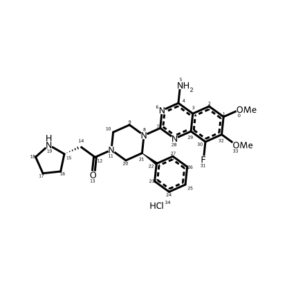 COc1cc2c(N)nc(N3CCN(C(=O)C[C@@H]4CCCN4)C[C@@H]3c3ccccc3)nc2c(F)c1OC.Cl